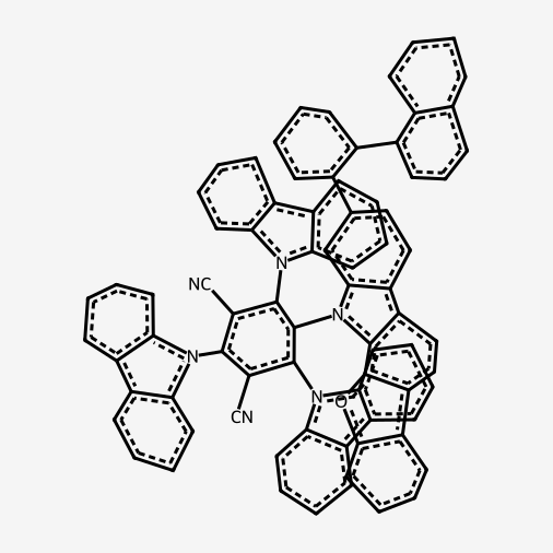 N#Cc1c(-n2c3ccccc3c3ccccc32)c(C#N)c(-n2c3ccccc3c3ccccc32)c(-n2c3cc(-c4ccccc4-c4cccc5ccccc45)ccc3c3ccc4c5ccccc5oc4c32)c1-n1c2ccccc2c2ccccc21